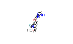 O=C(O)CC1Cc2ccc(OCCc3cn4c(n3)NCCC4)cc2CN(CF)C1=O